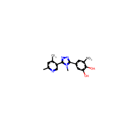 Cc1cc(C(F)(F)F)c(-c2nnc(-c3cc(O)c(O)c([N+](=O)[O-])c3)n2C)cn1